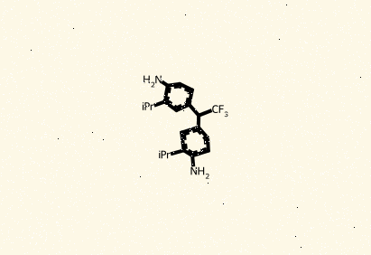 CC(C)c1cc(C(c2ccc(N)c(C(C)C)c2)C(F)(F)F)ccc1N